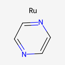 [Ru].c1cnccn1